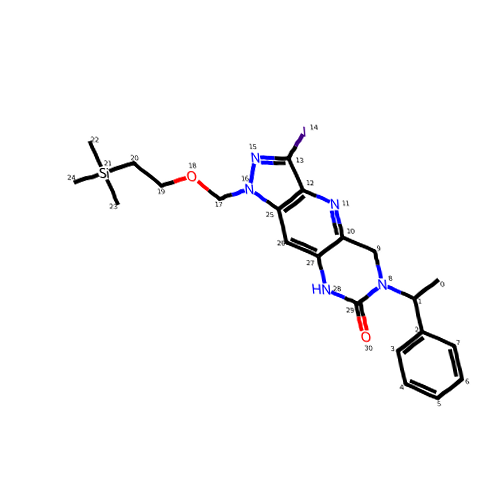 CC(c1ccccc1)N1Cc2nc3c(I)nn(COCC[Si](C)(C)C)c3cc2NC1=O